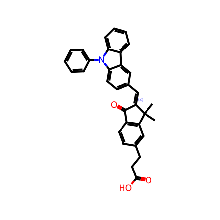 CC1(C)/C(=C/c2ccc3c(c2)c2ccccc2n3-c2ccccc2)C(=O)c2ccc(CCC(=O)O)cc21